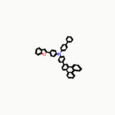 c1ccc(-c2ccc(N(c3ccc(-c4ccc5c6ccccc6c6ccccc6c5c4)cc3)c3ccc(-c4cc5ccccc5o4)cc3)cc2)cc1